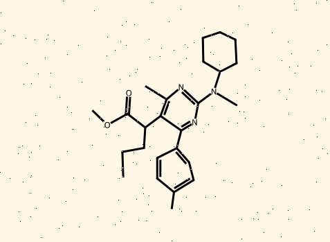 CCCC(C(=O)OC)c1c(C)nc(N(C)C2CCCCC2)nc1-c1ccc(C)cc1